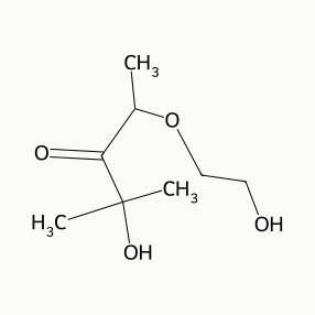 CC(OCCO)C(=O)C(C)(C)O